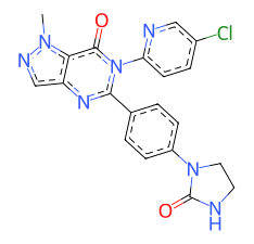 Cn1ncc2nc(-c3ccc(N4CCNC4=O)cc3)n(-c3ccc(Cl)cn3)c(=O)c21